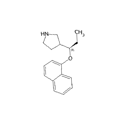 CC[C@@H](Oc1cccc2ccccc12)C1CCNC1